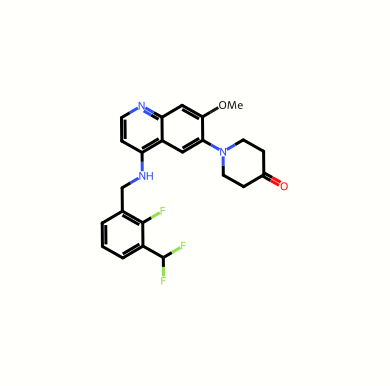 COc1cc2nccc(NCc3cccc(C(F)F)c3F)c2cc1N1CCC(=O)CC1